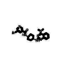 CN(C)c1nc(N[C@H]2CC[C@@H](NC(=O)c3cncc(Br)c3)CC2)nc2ccccc12